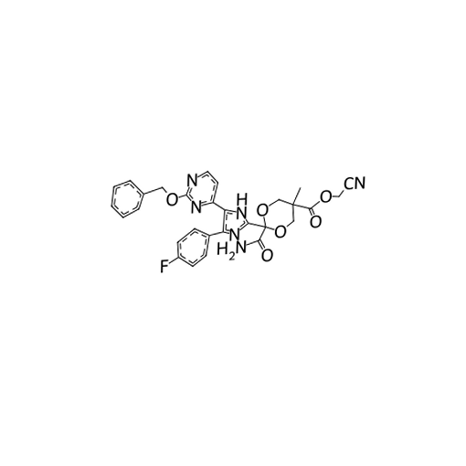 CC1(C(=O)OCC#N)COC(C(N)=O)(c2nc(-c3ccc(F)cc3)c(-c3ccnc(OCc4ccccc4)n3)[nH]2)OC1